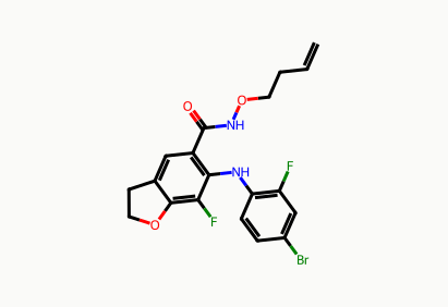 C=CCCONC(=O)c1cc2c(c(F)c1Nc1ccc(Br)cc1F)OCC2